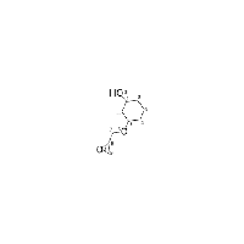 OC1CCCC(OCC2CO2)C1